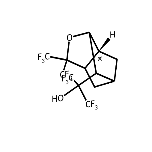 OC(C1C2CC3[C@@H](C2)C1OC3(C(F)(F)F)C(F)(F)F)(C(F)(F)F)C(F)(F)F